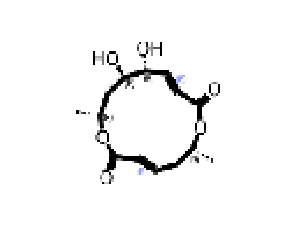 C[C@@H]1C/C=C/C(=O)O[C@H](C)C[C@@H](O)[C@H](O)/C=C/C(=O)O1